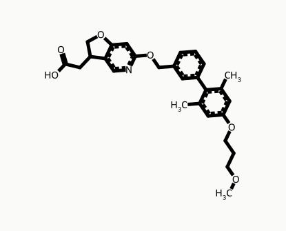 COCCCOc1cc(C)c(-c2cccc(COc3cc4c(cn3)C(CC(=O)O)CO4)c2)c(C)c1